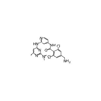 Cc1cc(Nc2cc(NC(=O)c3c(Cl)cc(CN)cc3Cl)ccn2)nc(N(C)C)n1